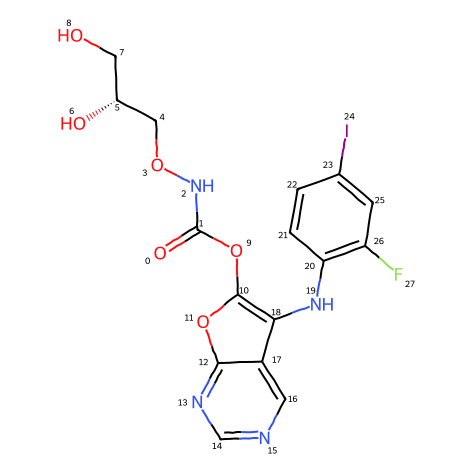 O=C(NOC[C@H](O)CO)Oc1oc2ncncc2c1Nc1ccc(I)cc1F